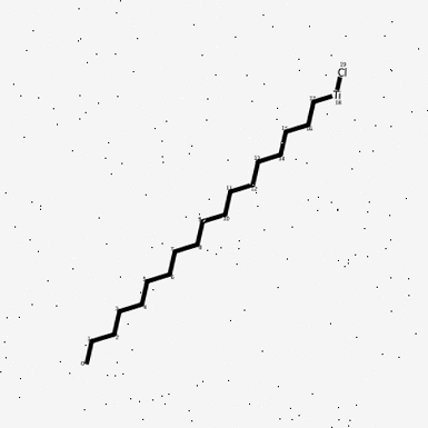 CCCCCCCCCCCCCCCCC[CH2][Ti][Cl]